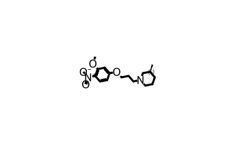 COc1cc(OCCCN2CCC[C@H](C)C2)ccc1[N+](=O)[O-]